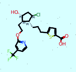 O=C(O)c1ccc(CCC[C@@H]2[C@@H](CCOc3cc(C(F)(F)F)ccn3)[C@H](O)C[C@H]2Cl)s1